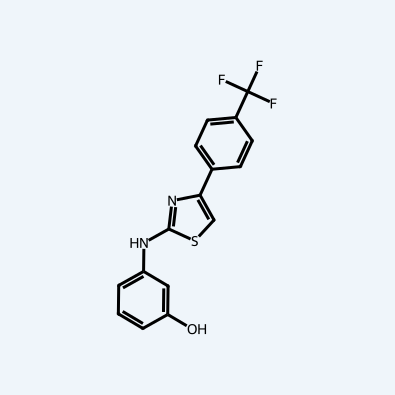 Oc1cccc(Nc2nc(-c3ccc(C(F)(F)F)cc3)cs2)c1